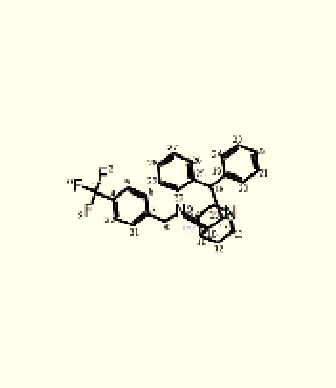 FC(F)(F)c1ccc(C/N=C2\C3CCN(CC3)C2C(c2ccccc2)c2ccccc2)cc1